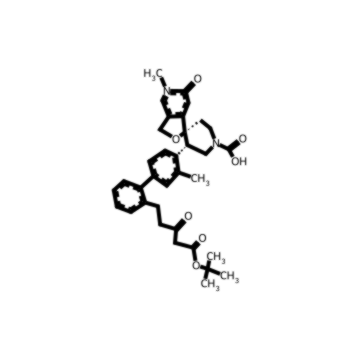 Cc1cc(-c2ccccc2CCC(=O)CC(=O)OC(C)(C)C)ccc1[C@H]1CN(C(=O)O)CC[C@@]12OCc1cn(C)c(=O)cc12